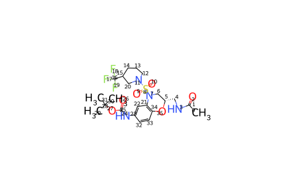 CC(=O)NC[C@H]1CN(S(=O)(=O)N2CCCC(C(F)(F)F)C2)c2cc(NC(=O)OC(C)(C)C)ccc2O1